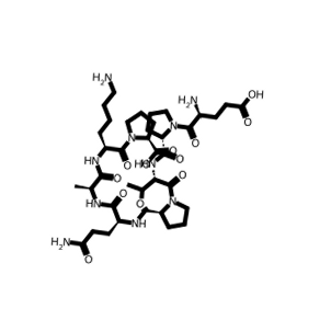 CC(C)[C@H](NC(=O)[C@@H]1CCCN1C(=O)[C@@H](N)CCC(=O)O)C(=O)N1CCC[C@H]1C(=O)N[C@@H](CCC(N)=O)C(=O)N[C@@H](C)C(=O)N[C@@H](CCCCN)C(=O)N1CCC[C@H]1C(=O)O